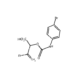 C=C(CC)C(OC(=O)Nc1ccc(Br)cc1)C(=O)O